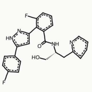 O=C(N[C@@H](CO)Cc1ccccn1)c1cccc(F)c1-c1cc(-c2ccc(F)cc2)[nH]n1